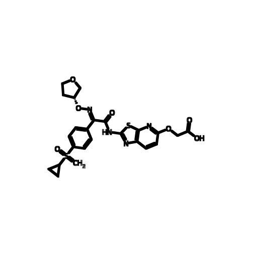 C=S(=O)(c1ccc(/C(=N\O[C@@H]2CCOC2)C(=O)Nc2nc3ccc(OCC(=O)O)nc3s2)cc1)C1CC1